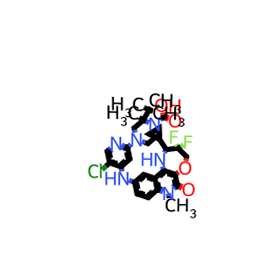 Cn1c(=O)c2c(c3cc(Nc4cc(N5CCN(C(=O)O)C(C)(C(C)(C)C)C5)ncc4Cl)ccc31)NC(C1CC1)C(F)(F)CO2